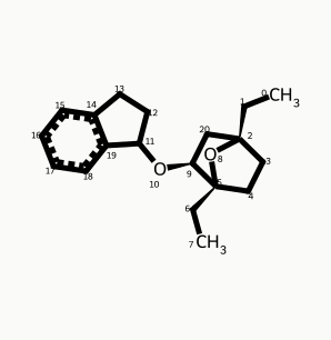 CC[C@@]12CC[C@@](CC)(O1)[C@@H](OC1CCc3ccccc31)C2